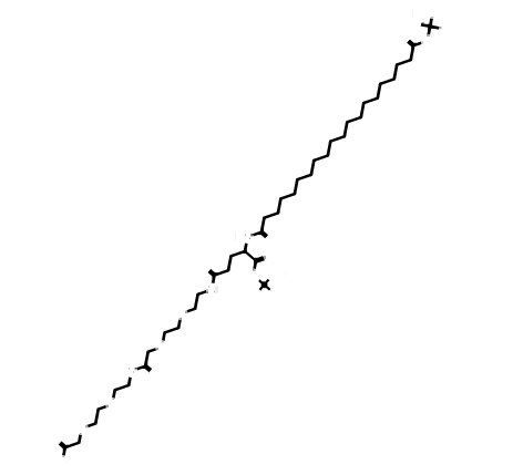 CC(C)(C)OC(=O)CCCCCCCCCCCCCCCCCCC(=O)NC(CCC(=O)NCCOCCOCC(=O)NCCOCCOCC(=O)O)C(=O)OC(C)(C)C